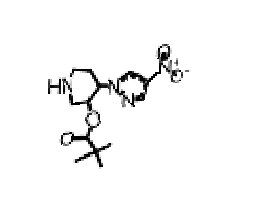 CC(C)(C)C(=O)OC1CNCCC1n1cc([N+](=O)[O-])cn1